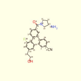 N#Cc1ccc(-c2cc(C(=O)N3CC[C@H](N)C3)ccc2-c2ccc(CCO)cc2F)cc1